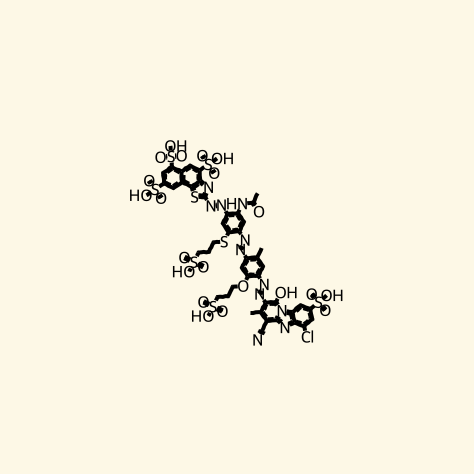 CC(=O)Nc1cc(N=Nc2cc(OCCCS(=O)(=O)O)c(N=Nc3c(C)c(C#N)c4nc5c(Cl)cc(S(=O)(=O)O)cc5n4c3O)cc2C)c(SCCCS(=O)(=O)O)cc1N=Nc1nc2c(S(=O)(=O)O)cc3c(S(=O)(=O)O)cc(S(=O)(=O)O)cc3c2s1